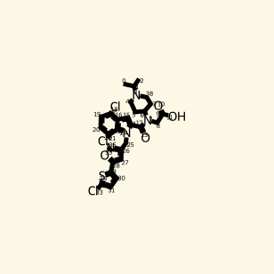 CC(C)N1CCC(N(CC(=O)O)C(=O)c2cc3c(Cl)ccc(Cl)c3n2Cc2cc(-c3ccc(Cl)s3)on2)CC1